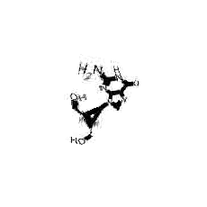 Nc1nc2c(ncn2C2[C@H](CO)[C@H]2CO)c(=O)[nH]1